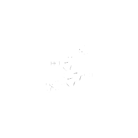 Cl.O=S1(=O)CCC(c2ccc3cc(O)ccc3c2Oc2ccc(OCCN3CCCCC3)cc2)CC1